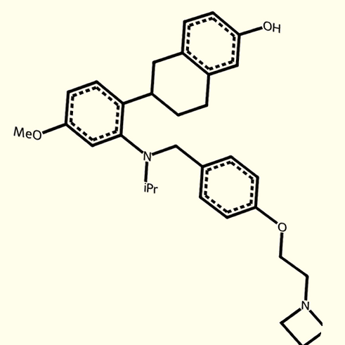 COc1ccc(C2CCc3cc(O)ccc3C2)c(N(Cc2ccc(OCCN3CCC3)cc2)C(C)C)c1